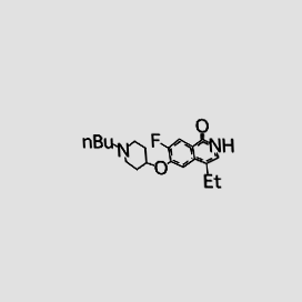 CCCCN1CCC(Oc2cc3c(CC)c[nH]c(=O)c3cc2F)CC1